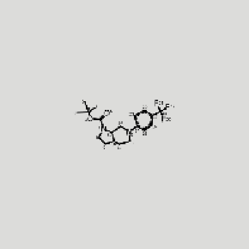 CC(C)(C)OC(=O)N1CCC2CCN(c3ccc(C(F)(F)F)cc3)CC21